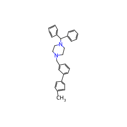 Cc1ccc(-c2cccc(CN3CCN(C(c4ccccc4)c4ccccc4)CC3)c2)cc1